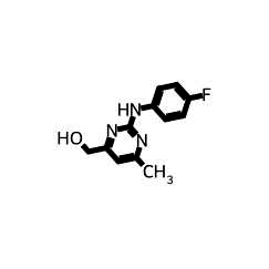 Cc1cc(CO)nc(Nc2ccc(F)cc2)n1